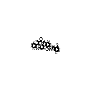 COc1cc(Cn2c(=O)c(C)c(-c3ccccc3[O-])[n+]3ccccc23)ccc1OCc1ccccc1C